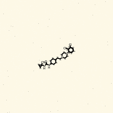 N#CC1(NC(=O)NC2CCC(CCN3CCN(c4cccc(Cl)c4Cl)CC3)CC2)CC1